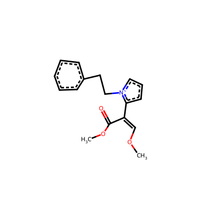 COC=C(C(=O)OC)c1cccn1CCc1ccccc1